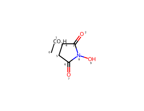 CC(=O)O.O=C1CCC(=O)N1O